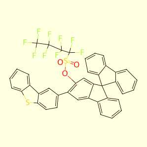 O=S(=O)(Oc1cc2c(cc1-c1ccc3sc4ccccc4c3c1)-c1ccccc1C21c2ccccc2-c2ccccc21)C(F)(F)C(F)(F)C(F)(F)C(F)(F)F